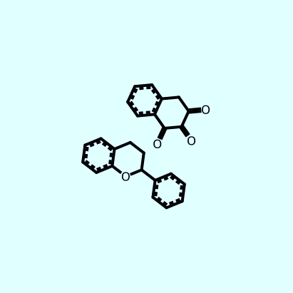 O=C1Cc2ccccc2C(=O)C1=O.c1ccc(C2CCc3ccccc3O2)cc1